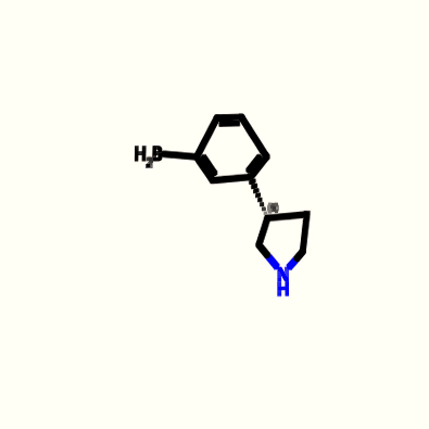 Bc1cccc([C@@H]2CCNC2)c1